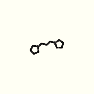 C1CC[S+](CCC[S+]2CCCC2)C1